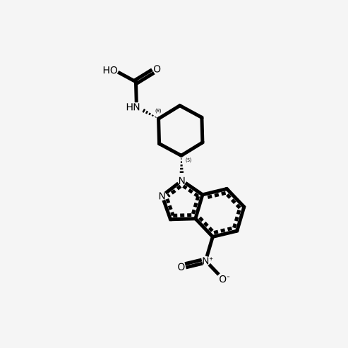 O=C(O)N[C@@H]1CCC[C@H](n2ncc3c([N+](=O)[O-])cccc32)C1